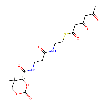 CC(=O)CC(=O)CC(=O)SCCNC(=O)CCNC(=O)[C@@H]1OC(=O)OCC1(C)C